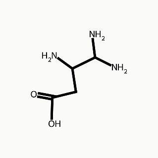 NC(N)C(N)CC(=O)O